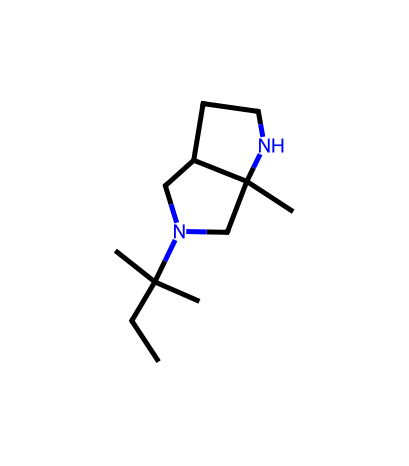 CCC(C)(C)N1CC2CCNC2(C)C1